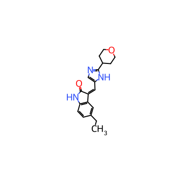 CCc1ccc2c(c1)C(=Cc1cnc(C3CCOCC3)[nH]1)C(=O)N2